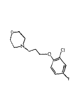 Clc1cc(I)ccc1OCCCN1CCOCC1